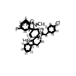 CN(C)[C@]1(c2cccc(F)c2)CC[C@]2(CC1)c1[nH]c3ccccc3c1CCN2C(=O)Cc1ccc(Cl)cc1